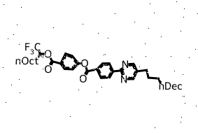 CCCCCCCCCCCCCc1cnc(-c2ccc(C(=O)Oc3ccc(C(=O)O[C@H](CCCCCCCC)C(F)(F)F)cc3)cc2)nc1